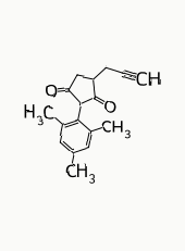 C#CCC1CC(=O)C(c2c(C)cc(C)cc2C)C1=O